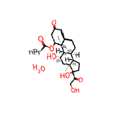 CCCC(=O)OC1CC(=O)C=C2CC[C@@H]3[C@H]([C@@H](O)C[C@@]4(C)[C@H]3CC[C@]4(O)C(=O)CO)[C@]21C.O